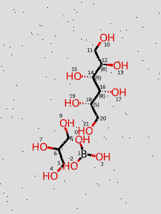 OB(O)O.OCC(O)CO.OC[C@@H](O)[C@@H](O)[C@H](O)[C@@H](O)CO